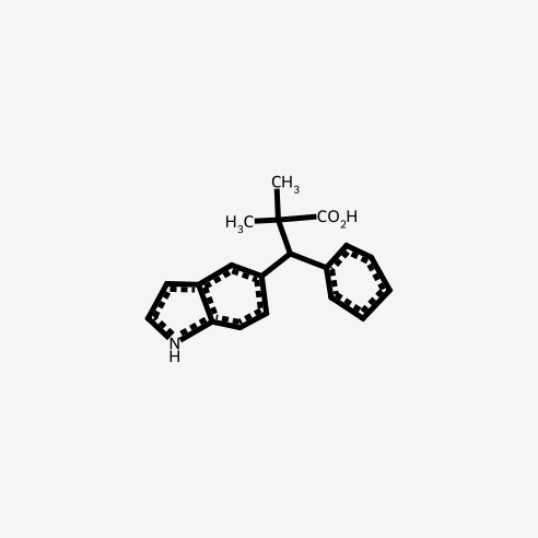 CC(C)(C(=O)O)C(c1ccccc1)c1ccc2[nH]ccc2c1